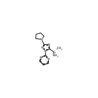 C[C@H](N)c1nc(N2CCCC2)nn1-c1ncccn1